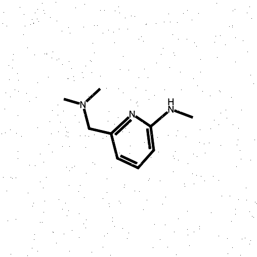 CNc1cccc(CN(C)C)n1